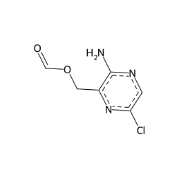 Nc1ncc(Cl)nc1COC=O